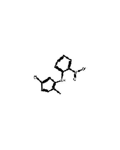 Cc1ccc(Cl)cc1Nc1ccccc1[N+](=O)[O-]